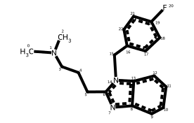 CN(C)CCCc1nc2ccccc2n1Cc1ccc(F)cc1